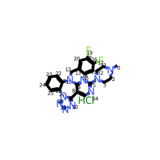 CN1CCN(c2ncc3c(n2)N(Cc2ccc(F)c(F)c2)c2ccccc2-n2nnnc2-3)CC1.Cl